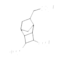 O=C(O)CC1CC2CC1C1C(C(=O)O)C(C(=O)O)C21